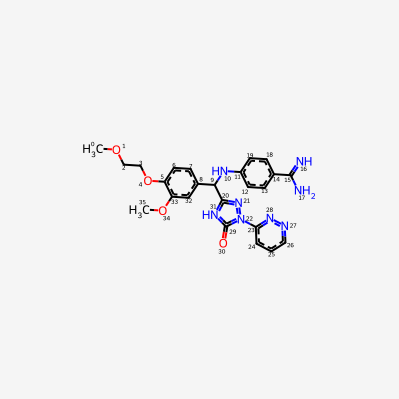 COCCOc1ccc(C(Nc2ccc(C(=N)N)cc2)c2nn(-c3cccnn3)c(=O)[nH]2)cc1OC